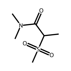 CC(C(=O)N(C)C)S(C)(=O)=O